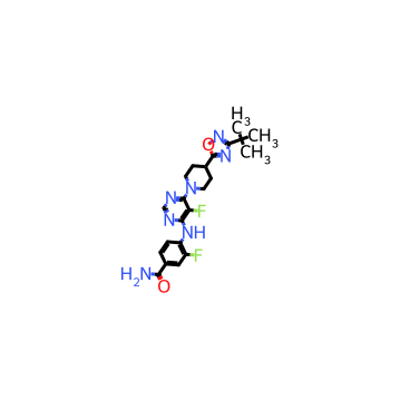 CC(C)(C)c1noc(C2CCN(c3ncnc(Nc4ccc(C(N)=O)cc4F)c3F)CC2)n1